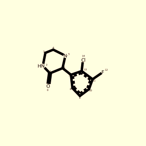 O=C1NCC[N]C1c1cccc(F)c1Cl